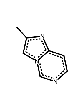 Ic1cn2cnccc2n1